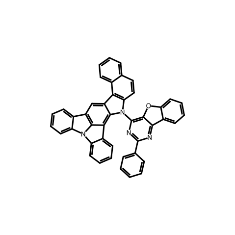 c1ccc(-c2nc(-n3c4ccc5ccccc5c4c4cc5c6ccccc6n6c7ccccc7c(c43)c56)c3oc4ccccc4c3n2)cc1